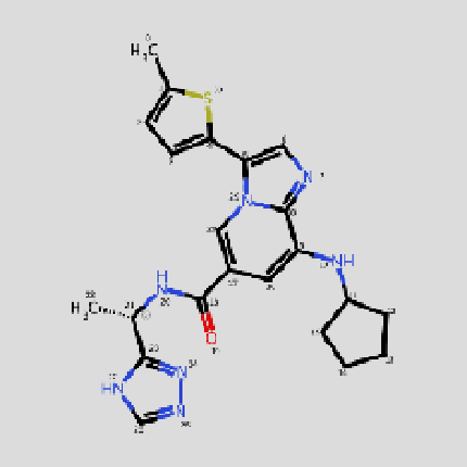 Cc1ccc(-c2cnc3c(NC4CCCC4)cc(C(=O)N[C@@H](C)c4nnc[nH]4)cn23)s1